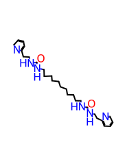 O=C(NCCCCCCCCCCCNC(=O)NCCc1ccccn1)NCCc1ccccn1